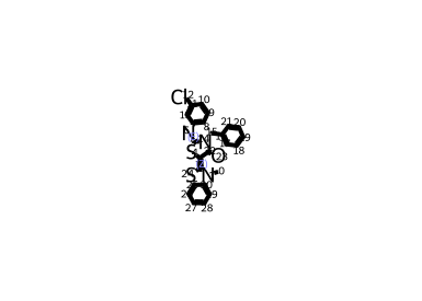 CN1/C(=C2/S/C(=N/c3cccc(Cl)c3)N(Cc3ccccc3)C2=O)Sc2ccccc21